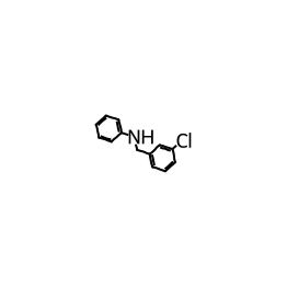 Clc1cccc(CNc2ccccc2)c1